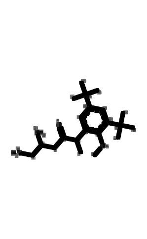 COc1c(C(C)C(=O)CC(N)CN)cc(C(C)(C)C)cc1C(C)(C)C